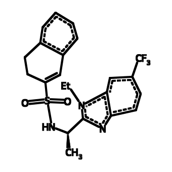 CCn1c([C@@H](C)NS(=O)(=O)C2=Cc3ccccc3CC2)nc2ccc(C(F)(F)F)cc21